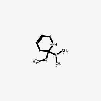 COC1(N(C)C)CC=CCN1